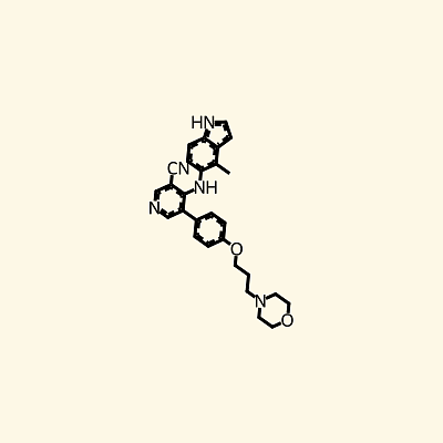 Cc1c(Nc2c(C#N)cncc2-c2ccc(OCCCN3CCOCC3)cc2)ccc2[nH]ccc12